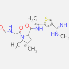 CNC(=N)c1csc([C@@H](C)NC(=O)C2C[C@H](C)C(C)N2C(=O)CNC=O)c1